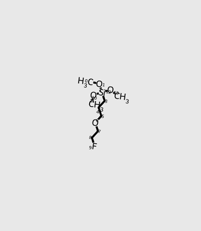 CO[Si](CCCOCCF)(OC)OC